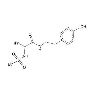 CCS(=O)(=O)NC(C(=O)NCCc1ccc(O)cc1)C(C)C